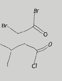 CC(C)CC(=O)Cl.O=C(Br)CBr